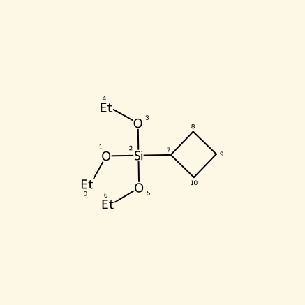 CCO[Si](OCC)(OCC)C1CCC1